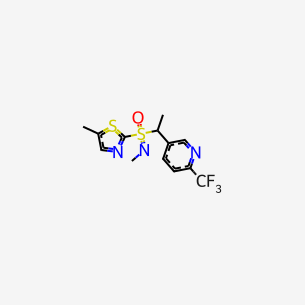 CN=S(=O)(c1ncc(C)s1)C(C)c1ccc(C(F)(F)F)nc1